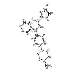 Cn1cc(-c2cc3ncccc3c(-c3ccc(N4CCC(N)CC4)nc3)n2)cn1